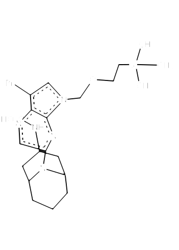 C[Si](C)(C)CCOCn1cc(Br)c2ncc(N3C4CCCC3CC(NC(=O)O)C4)nc21